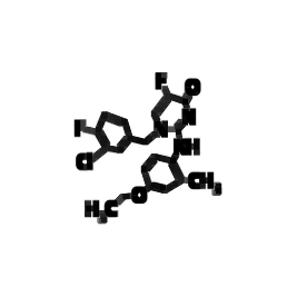 CCOc1ccc(Nc2nc(=O)c(F)cn2Cc2ccc(F)c(Cl)c2)c(C)c1